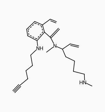 C#CCCCCNc1cccc(C=C)c1C(=C)N(C)C(C=C)CCCCNC